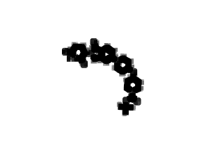 CC(C)(C)OC(=O)N1CCC(OC2CCN(c3ccc4c(c3)CN([C@H]3CCC(=O)NC3=O)C4=O)CC2)CC1